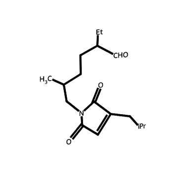 CCC(C=O)CCC(C)CN1C(=O)C=C(CC(C)C)C1=O